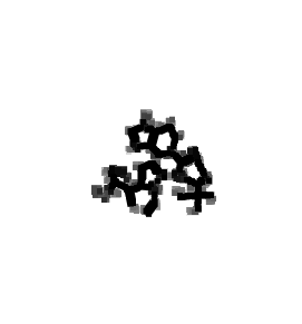 C=Cn1nc([C@@H]2c3nc[nH]c3CCN2c2nnc(C(C)(C)C)o2)cc1C(=C)C(P)P